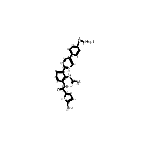 CCCCCCCOc1ccc(-c2cnc(-c3cccc(NC(=O)c4ccc(C(C)(C)C)s4)c3OC(=O)CC)nc2)cc1